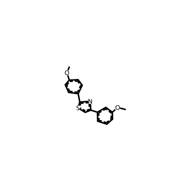 COc1ccc(-c2nc(-c3cccc(OC)c3)cs2)cc1